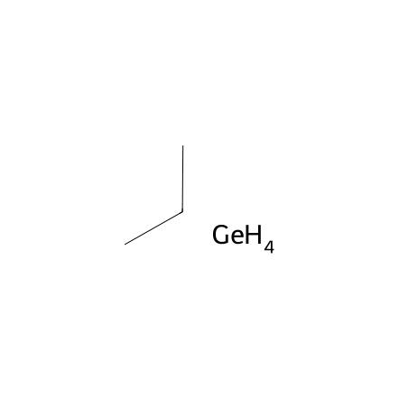 CCC.[GeH4]